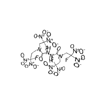 O=C(NNC(=O)N(CC(F)([N+](=O)[O-])[N+](=O)[O-])CC(F)([N+](=O)[O-])[N+](=O)[O-])N(CC(F)([N+](=O)[O-])[N+](=O)[O-])CC(F)([N+](=O)[O-])[N+](=O)[O-]